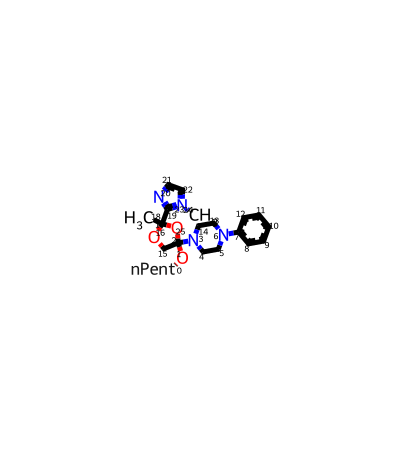 CCCCCOC1(N2CCN(c3ccccc3)CC2)COC(C)(c2nccn2C)O1